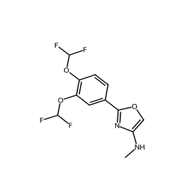 CNc1coc(-c2ccc(OC(F)F)c(OC(F)F)c2)n1